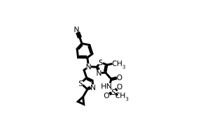 Cc1sc(N(Cc2cnc(C3CC3)s2)c2ccc(C#N)cc2)nc1C(=O)NS(C)(=O)=O